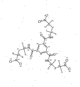 CC(C)(CC(C)(C)N(Cl)Cl)NC(=O)c1cc(C(=O)NC(C)(C)CC(C)(C)N(Cl)Cl)cc(C(=O)NC(C)(C)CC(C)(C)N(Cl)Cl)c1